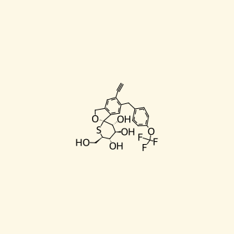 C#Cc1cc2c(cc1Cc1ccc(OC(F)(F)F)cc1)[C@]1(OC2)S[C@H](CO)[C@@H](O)[C@H](O)[C@H]1O